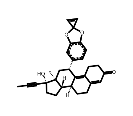 CC#C[C@]1(O)CC[C@H]2[C@@H]3CCC4=CC(=O)CCC4=C3[C@@H](c3ccc4c(c3)OC3(C=C3)O4)C[C@@]21C